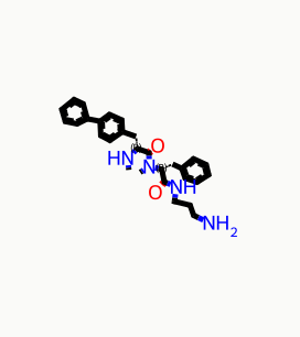 CN[C@H](Cc1ccc(-c2ccccc2)cc1)C(=O)N(C)[C@H](Cc1ccccc1)C(=O)NCCCN